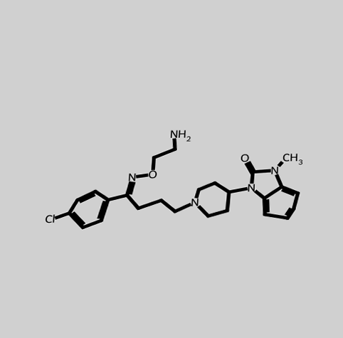 Cn1c(=O)n(C2CCN(CCCC(=NOCCN)c3ccc(Cl)cc3)CC2)c2ccccc21